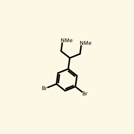 CNCC(CNC)c1cc(Br)cc(Br)c1